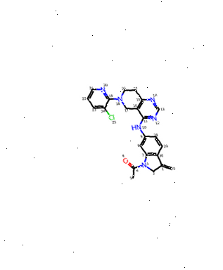 C=C1CN(C(C)=O)c2cc(Nc3ncnc4c3CN(c3ncccc3Cl)CC4)ccc21